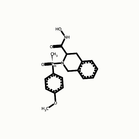 COc1ccc([P@@](C)(=O)N2Cc3ccccc3CC2C(=O)NO)cc1